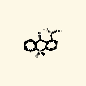 O=C1c2ccccc2S(=O)(=O)c2cccc(B(O)O)c21